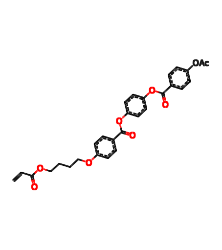 C=CC(=O)OCCCCOc1ccc(C(=O)Oc2ccc(OC(=O)c3ccc(OC(C)=O)cc3)cc2)cc1